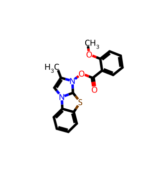 COc1ccccc1C(=O)ON1C(C)=CN2c3ccccc3SC12